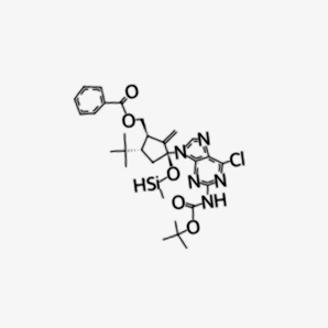 C=C1[C@H](COC(=O)c2ccccc2)[C@@H](C(C)(C)C)C[C@@]1(O[SiH](C)C)n1cnc2c(Cl)nc(NC(=O)OC(C)(C)C)nc21